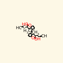 C#CCCC(Cc1ccccc1C(C)(C)c1ccccc1CC(CCC#C)C(=O)O)C(=O)O